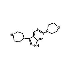 c1[nH]c2cc(N3CCOCC3)ncc2c1C1CCNCC1